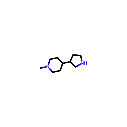 CN1CCC(C2CCNC2)CC1